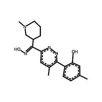 Cc1ccc(-c2nnc(C(=NO)C3CCCN(C)C3)cc2C)c(O)c1